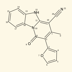 Cc1c(-c2ccco2)c(=O)n2c([nH]c3ccccc32)c1C#N